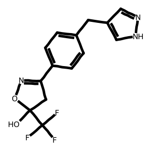 OC1(C(F)(F)F)CC(c2ccc(Cc3cn[nH]c3)cc2)=NO1